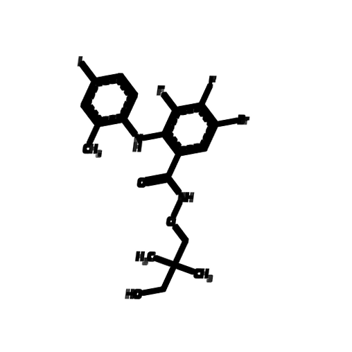 Cc1cc(I)ccc1Nc1c(C(=O)NOCC(C)(C)CO)cc(Br)c(F)c1F